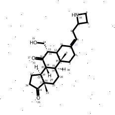 C[C@]12CC/C(=C/CC3CCN3)CC1[C@@H](CO)C(=O)[C@@H]1[C@@H]2CC[C@]2(C)C(=O)CC[C@@H]12